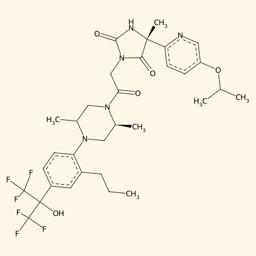 CCCc1cc(C(O)(C(F)(F)F)C(F)(F)F)ccc1N1C[C@H](C)N(C(=O)CN2C(=O)N[C@](C)(c3ccc(OC(C)C)cn3)C2=O)CC1C